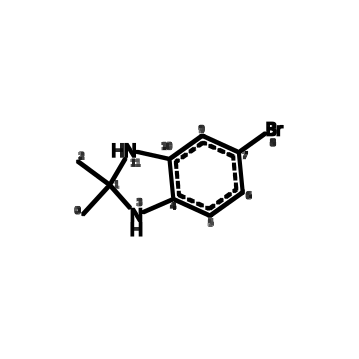 CC1(C)Nc2ccc(Br)cc2N1